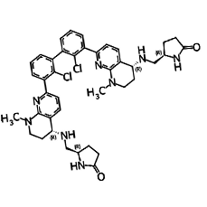 CN1CC[C@@H](NC[C@H]2CCC(=O)N2)c2ccc(-c3cccc(-c4cccc(-c5ccc6c(n5)N(C)CC[C@H]6NC[C@H]5CCC(=O)N5)c4Cl)c3Cl)nc21